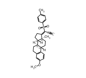 [C-]#[N+]C(=C1CC[C@H]2[C@@H]3CCc4cc(OC)ccc4[C@H]3CC[C@]12C)S(=O)(=O)c1ccc(C)cc1